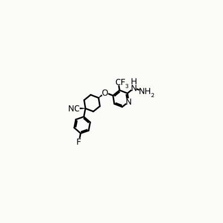 N#C[C@]1(c2ccc(F)cc2)CC[C@H](Oc2ccnc(NN)c2C(F)(F)F)CC1